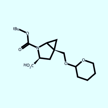 CC(C)(C)OC(=O)N1C2C[C@]2(COC2CCCCO2)C[C@H]1C(=O)O